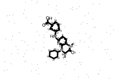 C[C@@H]1C(=O)N(C)c2ccc(Nc3cccc(C(=O)O)c3)nc2N1C1CCCCC1